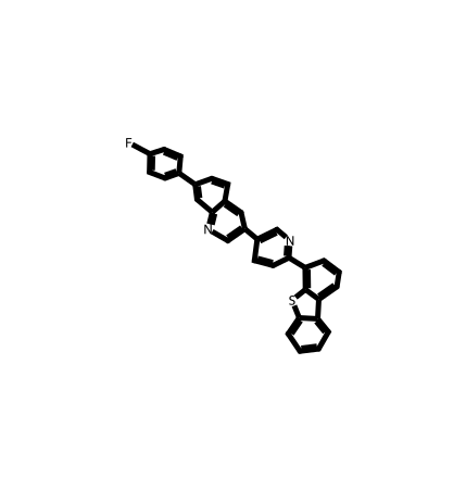 Fc1ccc(-c2ccc3cc(-c4ccc(-c5cccc6c5sc5ccccc56)nc4)cnc3c2)cc1